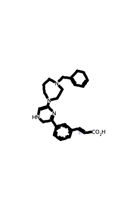 O=C(O)/C=C/c1cccc(C2=NC(N3CCCN(CC4=CC=CCC4)CC3)=CNC2)c1